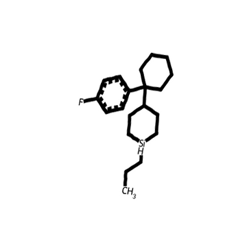 CCC[SiH]1CCC(C2(c3ccc(F)cc3)CCCCC2)CC1